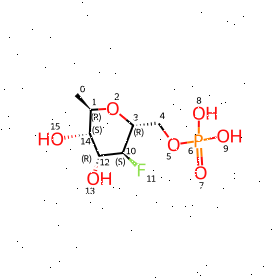 C[C@H]1O[C@H](COP(=O)(O)O)[C@@H](F)[C@H](O)[C@@H]1O